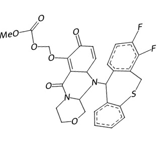 COC(=O)OCOC1=C2C(=O)N3CCOCC3N(C3c4ccccc4SCc4c3ccc(F)c4F)C2C=CC1=O